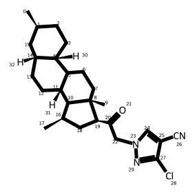 C[C@H]1CC[C@@H]2C3CC[C@@]4(C)C([C@@H]3CC[C@@H]2C1)[C@H](C)C[C@@H]4C(=O)Cn1cc(C#N)c(Cl)n1